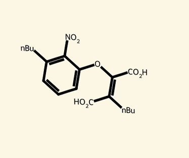 CCCCC(C(=O)O)=C(Oc1cccc(CCCC)c1[N+](=O)[O-])C(=O)O